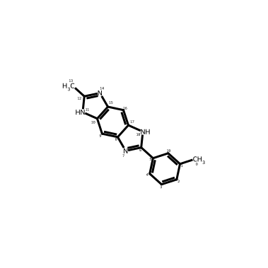 Cc1cccc(-c2nc3cc4[nH]c(C)nc4cc3[nH]2)c1